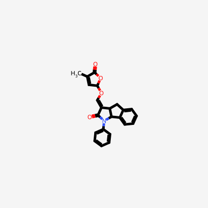 CC1=CC(O/C=C2/C(=O)N(c3ccccc3)C3c4ccccc4CC23)OC1=O